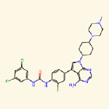 CN1CCN(C2CCC(n3cc(-c4ccc(NC(=O)Nc5cc(Cl)cc(Cl)c5)c(F)c4)c4c(N)ncnc43)CC2)CC1